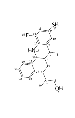 CC(CO)CCC1C(C)c2cc(S)cc(F)c2NC1c1ccccc1